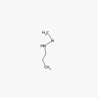 CCCN[N]C